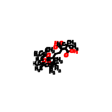 CC(C)(C)/C(C(=O)O)=C(/CCC[Si](O[Si](C)(C)C)(O[Si](C)(C)C)O[Si](C)(C)C)C(=O)O